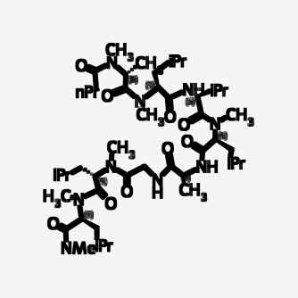 CCCC(=O)N(C)[C@H](C)C(=O)N(C)[C@@H](CC(C)C)C(=O)N[C@H](C(=O)N(C)[C@@H](CC(C)C)C(=O)N[C@H](C)C(=O)NCC(=O)N(C)[C@@H](CC(C)C)C(=O)N(C)[C@@H](CC(C)C)C(=O)NC)C(C)C